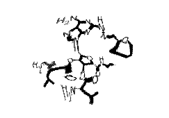 CCNC(=O)[C@H]1O[C@@H](N2C=NC3C(N)=NC(N/N=C/[C@@H]4CCC=CO4)=NC32)[C@H](OC(=O)[C@@H](N)C(C)C)[C@@H]1OC(=O)[C@@H](N)C(C)C